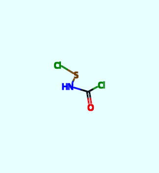 O=C(Cl)NSCl